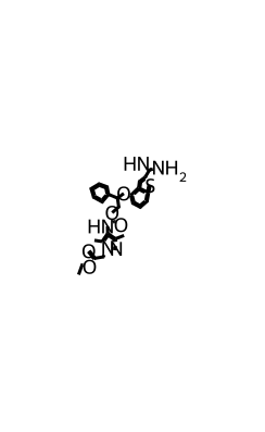 CCOC(=O)Cn1nc(C)c(NC(=O)OCC(Oc2cccc3sc(C(=N)N)cc23)c2ccccc2)c1C